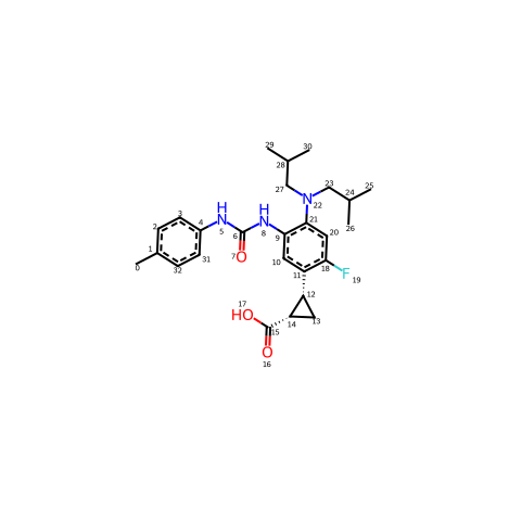 Cc1ccc(NC(=O)Nc2cc([C@@H]3C[C@@H]3C(=O)O)c(F)cc2N(CC(C)C)CC(C)C)cc1